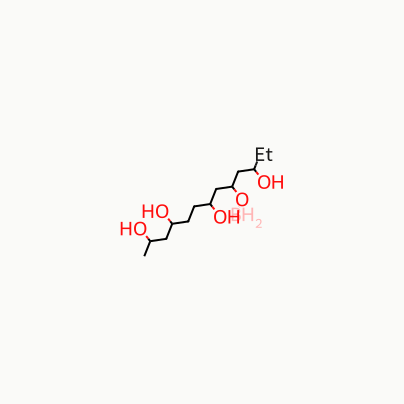 BOC(CC(O)CC)CC(O)CCC(O)CC(C)O